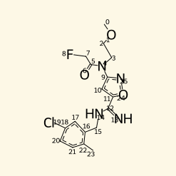 COCCN(C(=O)CF)c1cc(C(=N)NCc2cc(Cl)ccc2C)on1